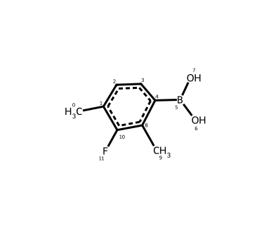 Cc1ccc(B(O)O)c(C)c1F